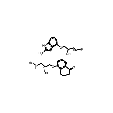 CC(C)(C)NC[C@H](O)COc1cccc2c1CCCC2=O.Cc1cc2c(OCC(O)CNC(C)C)cccc2[nH]1